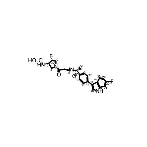 O=C(O)N[C@@H]1CN(C(=O)CCNS(=O)(=O)c2ccc(-c3c[nH]c4cc(F)ccc34)cc2)C[C@H]1F